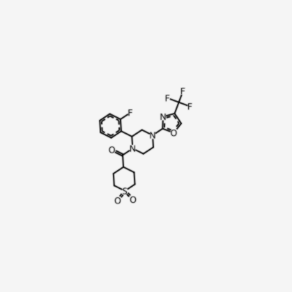 O=C(C1CCS(=O)(=O)CC1)N1CCN(c2nc(C(F)(F)F)co2)CC1c1ccccc1F